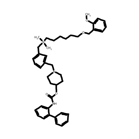 COc1ccccc1COCCCCCC[N+](C)(C)Cc1cccc(CN2CCC(OC(=O)Nc3ccccc3-c3ccccc3)CC2)c1